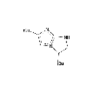 CC(C)(C)c1cn2c(n1)NCC2C(C)(C)C